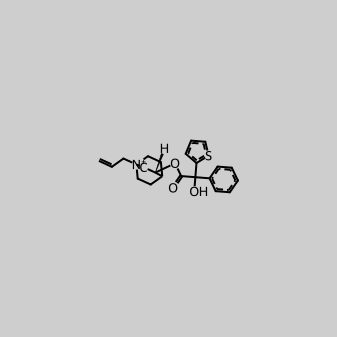 C=CC[N+]12CCC(CC1)[C@@H](OC(=O)C(O)(c1ccccc1)c1cccs1)C2